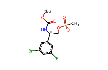 CC(C)(C)OC(=O)N[C@@H](COS(C)(=O)=O)c1cc(F)cc(Br)c1